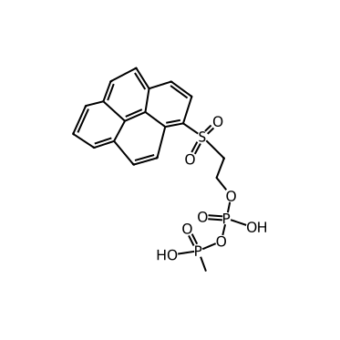 CP(=O)(O)OP(=O)(O)OCCS(=O)(=O)c1ccc2ccc3cccc4ccc1c2c34